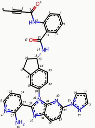 CC#CC(=O)Nc1ccccc1C(=O)N[C@H]1CCc2cc(-n3c(-c4cccnc4N)nc4ccc(-n5cccn5)nc43)ccc21